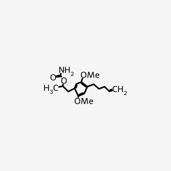 C=CCCCc1cc(OC)c(CC(C)OC(N)=O)cc1OC